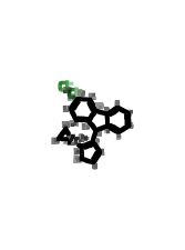 C1=CC(C2c3ccccc3-c3ccccc32)=[C]([Zr+2]2[CH2][CH2]2)C1.[Cl-].[Cl-]